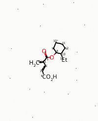 C=C(C=CC(=O)O)C(=O)OC1CCCCC1CC